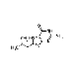 C=C(C)Cc1nc2nc(N)[nH]c(=O)c2[nH]1